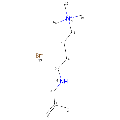 C=C(C)CNCCCC[N+](C)(C)C.[Br-]